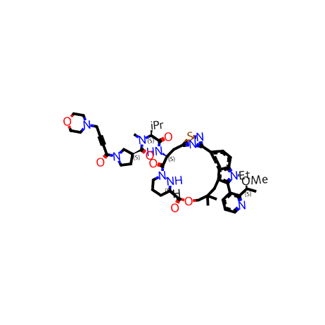 CCn1c(-c2cccnc2[C@H](C)OC)c2c3cc(ccc31)-c1nsc(n1)C[C@H](NC(=O)[C@H](C(C)C)N(C)C(=O)[C@H]1CCN(C(=O)C#CCN3CCOCC3)C1)C(=O)N1CCC[C@H](N1)C(=O)OCC(C)(C)C2